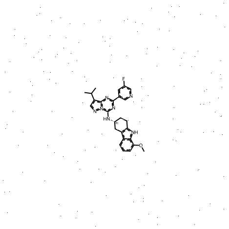 COc1cccc2c3c([nH]c12)CC[C@@H](Nc1nc(-c2cncc(F)c2)nc2c(C(C)C)cnn12)C3